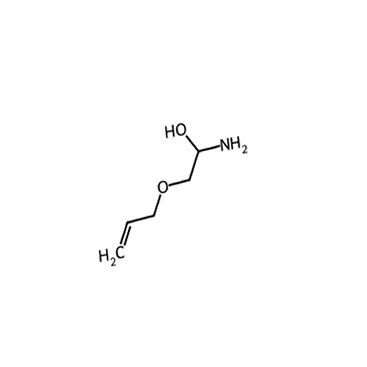 C=CCOCC(N)O